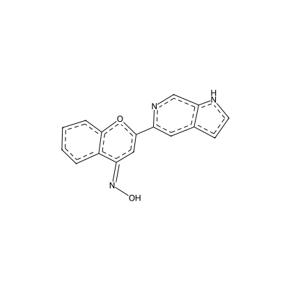 ON=c1cc(-c2cc3cc[nH]c3cn2)oc2ccccc12